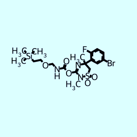 CN1C(OC(=O)NCOCC[Si](C)(C)C)=NC(C)(c2cc(Br)ccc2F)CS1(=O)=O